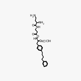 Cl.Cl.NCCC(N)C(=O)NCCC(=O)ONC(=O)Cc1ccc(CCCCc2ccccc2)cc1